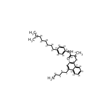 C[C@@H](Cc1ccc(CCCCN)c2ccccc12)C(=O)Nc1ccc(CCCCCCN(C)C)cc1